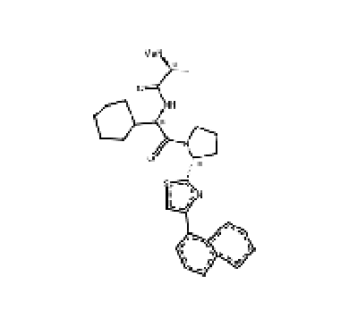 CN[C@@H](C)C(=O)N[C@@H](C(=O)N1CCC[C@@H]1c1nc(-c2cccc3ccccc23)cs1)C1CCCCC1